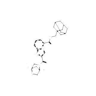 O=C(NCC12CC3CC(CC(C3)C1)C2)c1cccc2nc(C(=O)N3C[C@H]4C[C@@H]3CN4)cn12